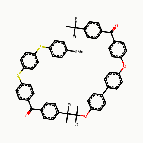 CCC(C)(CC)c1ccc(C(=O)c2ccc(Oc3ccc(-c4ccc(OC(C)(CC)C(C)(CC)c5ccc(C(=O)c6ccc(Sc7ccc(Sc8ccc(SC)cc8)cc7)cc6)cc5)cc4)cc3)cc2)cc1